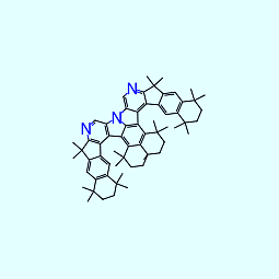 CC1(C)CCC(C)(C)c2cc3c(cc21)-c1c(ncc2c1c1c4c5c(c6c7c8c(ncc7n2c16)C(C)(C)c1cc2c(cc1-8)C(C)(C)CCC2(C)C)C(C)(C)CCC5(C)CCC4(C)C)C3(C)C